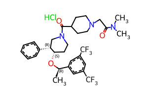 C[C@@H](O[C@H]1CCN(C(=O)C2CCN(CC(=O)N(C)C)CC2)C[C@H]1c1ccccc1)c1cc(C(F)(F)F)cc(C(F)(F)F)c1.Cl